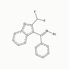 CC(=O)N=C(c1ccccc1)c1c(C(F)F)oc2ccccc12